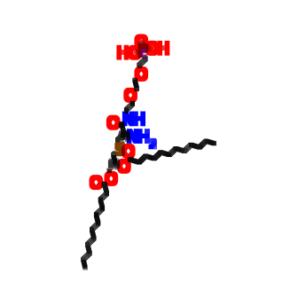 CCCCCCCCCCCC(=O)OC[C@H](CSC[C@H](N)C(=O)NCCOCCOCCP(=O)(O)O)OC(=O)CCCCCCCCCCC